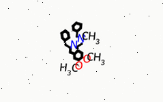 COc1cc2cc(Cc3ccccc3)nc(CN(C)Cc3ccccc3)c2cc1OC